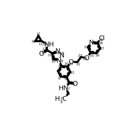 CCNC(=O)c1ccc(-n2cc(C(=O)NC3CC3)nn2)c(OCCOc2ccc(Cl)nc2)c1